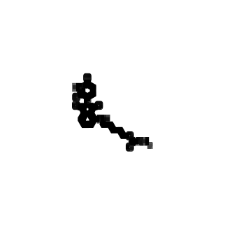 NC(=O)OCCCCCNc1cccc2c1C(=O)N(C1CCC(=O)NC1=O)C2=O